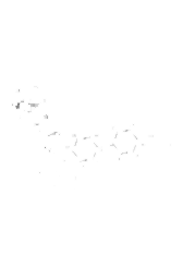 CC1(C)Cc2cc(-c3ccc(C4CC4)cc3)c(F)cc2C1NC(=O)O[C@H]1CN2CCC1CC2